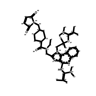 CCN(Cc1nc2c(NC(=C(C)C)N(C)C)nc3ccccc3c2n1CC(C)(C)OC(=C(C)C)N(C)C)C(=O)C1CCC(CN2C(=O)C=CC2=O)CC1